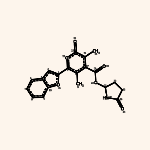 Cc1c(-c2cc3ccccc3o2)oc(=O)c(C)c1C(=O)OC1CCC(=O)N1